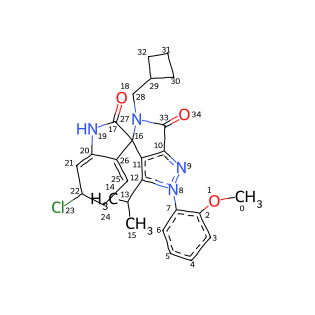 COc1ccccc1-n1nc2c(c1C(C)C)C1(C(=O)NC3=CC(Cl)CC=C31)N(CC1CCC1)C2=O